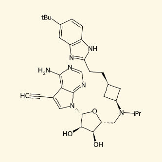 C#Cc1cn([C@@H]2O[C@H](CN(C(C)C)[C@H]3C[C@@H](CCc4nc5cc(C(C)(C)C)ccc5[nH]4)C3)[C@@H](O)[C@H]2O)c2ncnc(N)c12